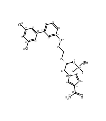 CC(C)(C)[Si](C)(C)O[C@@H](CCCOc1cccc(-c2cc(Cl)cc(Cl)c2)c1)Cn1cnc(C(N)=O)c1